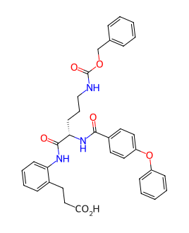 O=C(O)CCc1ccccc1NC(=O)[C@H](CCCNC(=O)OCc1ccccc1)NC(=O)c1ccc(Oc2ccccc2)cc1